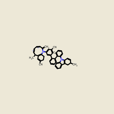 C=C1/C=C\C=C/C(C)C2=C(CCC(C#N)=C2)N1c1cc(C#N)cc(-c2ccccc2-c2c(C#N)cccc2-n2c3c(c4ccccc42)CC(C)C=C3)c1